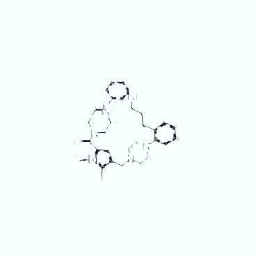 Cc1c(CN2CCN(c3ccccc3CCCN)CC2)cc(C(=O)N2CCN(c3ccccc3)CC2)n1C